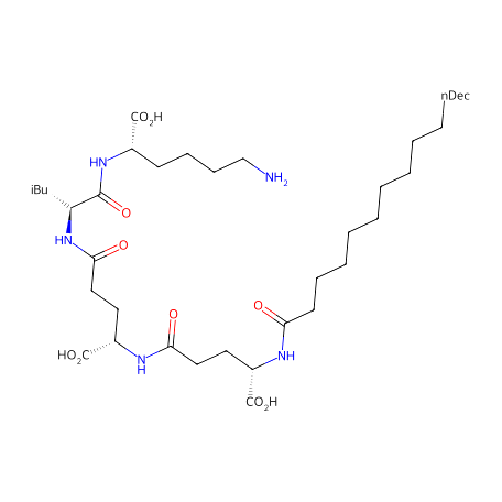 CCCCCCCCCCCCCCCCCCCC(=O)N[C@@H](CCC(=O)N[C@@H](CCC(=O)N[C@H](C(=O)N[C@@H](CCCCN)C(=O)O)[C@@H](C)CC)C(=O)O)C(=O)O